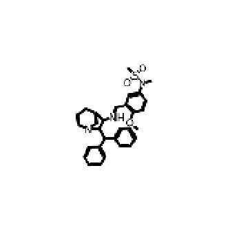 COc1ccc(N(C)S(C)(=O)=O)cc1CNC1C2CCCN(C2)C1C(c1ccccc1)c1ccccc1